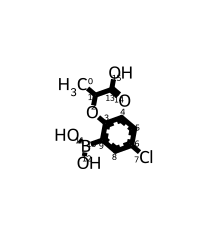 CC(Oc1ccc(Cl)cc1B(O)O)C(=O)O